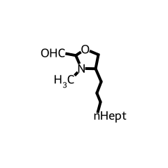 CCCCCCCCCCC1COC(C=O)N1C